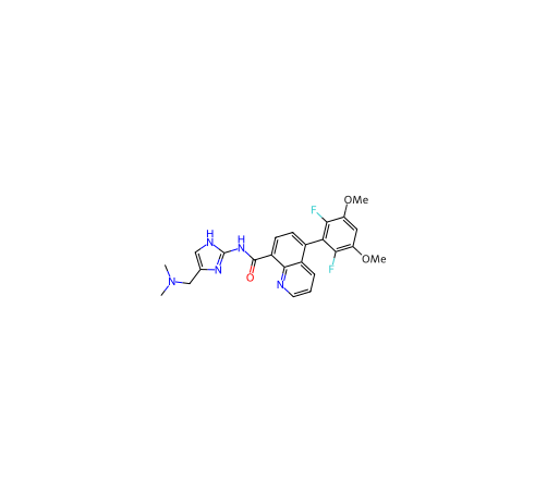 COc1cc(OC)c(F)c(-c2ccc(C(=O)Nc3nc(CN(C)C)c[nH]3)c3ncccc23)c1F